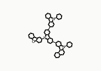 c1ccc(-n2c3ccccc3c3cc(-c4ccc5c(c4)c4cc(-c6ccc7c(c6)c6c8ccccc8ccc6n7-c6ccccc6)ccc4n5-c4ccc5oc6ccccc6c5c4)ccc32)cc1